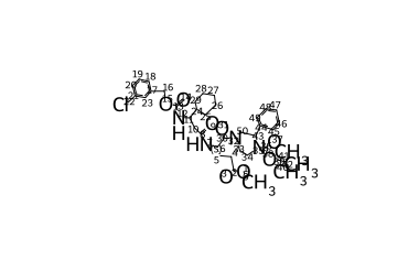 COC(=O)CC[C@H](NC(=O)CC(NC(=O)OCc1cccc(Cl)c1)C1CCCCC1)C(=O)N1CCN(C(=O)OC(C)(C)C)C(c2ccccc2)C1